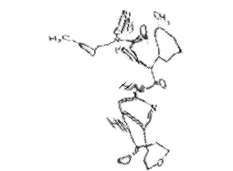 COCCN(C)C(=O)N[C@H](C(=O)Nc1cc2c(cn1)C1(CCOCC1)C(=O)N2)C1CCC[C@@H](C)C1